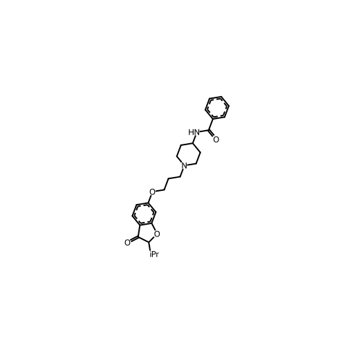 CC(C)C1Oc2cc(OCCCN3CCC(NC(=O)c4ccccc4)CC3)ccc2C1=O